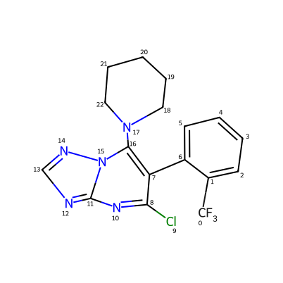 FC(F)(F)c1ccccc1-c1c(Cl)nc2ncnn2c1N1CCCCC1